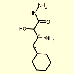 NNC(=O)C(O)[C@H](N)CC1CCCCC1